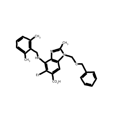 CCc1c(C(=O)O)cc2c(nc(C)n2COCc2ccccc2)c1NCc1c(C)cccc1C